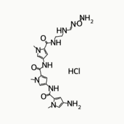 Cl.Cn1cc(NC(=O)c2cc(NC(=O)c3cc(N)cn3C)cn2C)cc1C(=O)NCCNC=NON